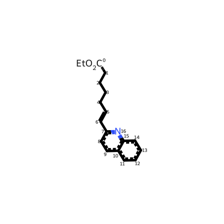 CCOC(=O)CCCCC=Cc1ccc2ccccc2n1